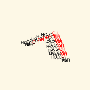 O=C(O)O.O=C(O)O.O=C(O)O.O=C(O)O.O=C(O)O.O=C(O)O.O=C(O)O.O=C(O)O.O=C(O)O.O=C(O)O.O=C(O)O.O=C(O)O.O=C(O)O.O=C(O)O.O=C(O)O.O=C(O)O.[NaH].[NaH].[NaH].[NaH]